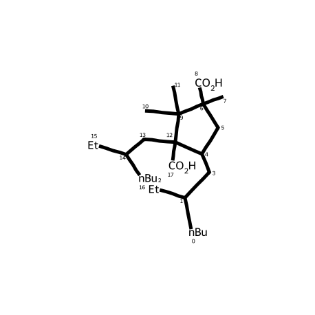 CCCCC(CC)CC1CC(C)(C(=O)O)C(C)(C)C1(CC(CC)CCCC)C(=O)O